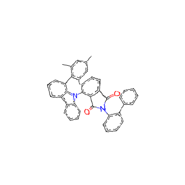 Cc1cc(C)c(-c2cccc3c4ccccc4n(-c4cccc5c4C(=O)N(c4ccccc4-c4ccccc4)C5=O)c23)c(C)c1